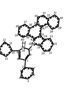 C1=C(c2ccccc2)C=C(c2ccccc2)NC1n1c2ccccc2c2c3c4ccccc4ccc3c3ccccc3c21